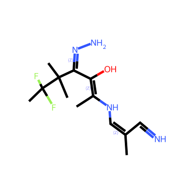 C/C(C=N)=C/N/C(C)=C(O)/C(=N\N)C(C)(C)C(C)(F)F